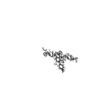 C=CC(=O)N1CCN(c2nc(=O)n3c4c(c(-c5ccc(F)cc5)c(C)cc24)SC[C@@H]3CN2CCN(C3CC3)CC2)CC1